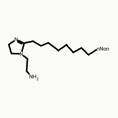 CCCCCCCCCCCCCCCCCC1=NCCN1CCN